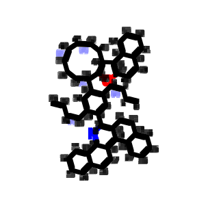 C=C/C=C\c1cc(-c2nc3c4ccccc4ccc3c3c2ccc2ccccc23)c(/C=C\C=C)cc1/C1=C/C/C=C\C=C/Cc2c1oc1ccc3ccccc3c21